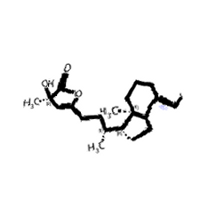 C[C@H](CCC1=C[C@@](C)(O)C(=O)O1)[C@H]1CCC2/C(=C/I)CCC[C@@]21C